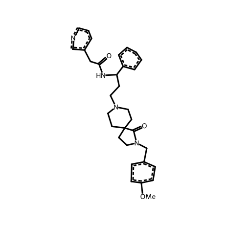 COc1ccc(CN2CCC3(CCN(CCC(NC(=O)Cc4cccnc4)c4ccccc4)CC3)C2=O)cc1